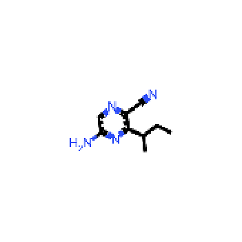 CCC(C)c1nc(N)cnc1C#N